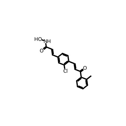 Cc1ccccc1C(=O)C=Cc1ccc(C=CC(=O)NO)cc1Cl